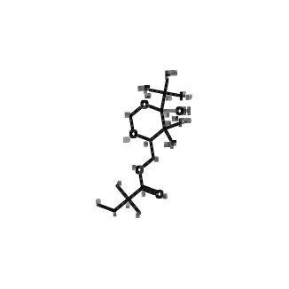 CCC(C)(C)C(=O)OCC1OCOC(O)(C(F)(F)F)C1(F)F